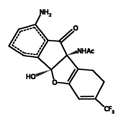 CC(=O)N[C@@]12C(=O)c3c(N)cccc3[C@]1(O)OC1=C2CCC(C(F)(F)F)=C1